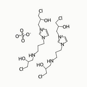 O=S(=O)([O-])[O-].OC(CCl)CNCCCn1cc[n+](CC(O)CCl)c1.OC(CCl)CNCCCn1cc[n+](CC(O)CCl)c1